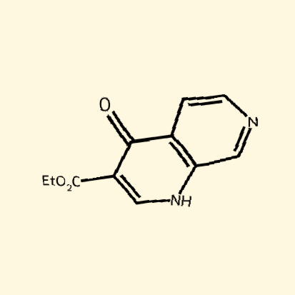 CCOC(=O)c1c[nH]c2cnccc2c1=O